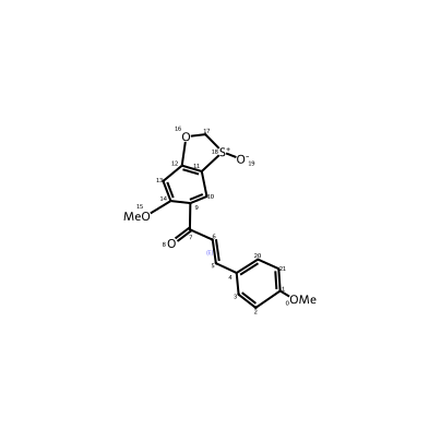 COc1ccc(/C=C/C(=O)c2cc3c(cc2OC)OC[S+]3[O-])cc1